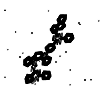 N/C(=N\C(=N/Cn1c2c(c3ccccc31)C=CC1C2c2ccccc2N1c1ccc(-c2nc(-c3ccccc3)nc(-c3cccc4c3ccc3ccccc34)n2)cc1)c1ccccc1)c1ccccc1